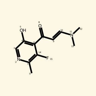 Cc1ncc(O)c(C(=O)C=CN(C)C)c1F